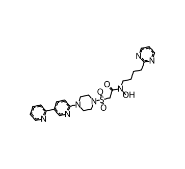 O=C(CS(=O)(=O)N1CCN(c2ccc(-c3ccccn3)cn2)CC1)N(O)CCCCc1ncccn1